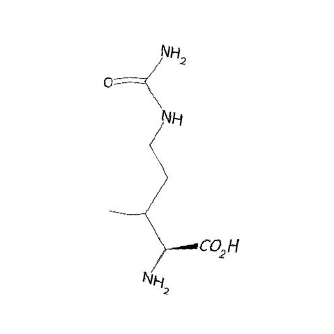 CC(CCNC(N)=O)[C@H](N)C(=O)O